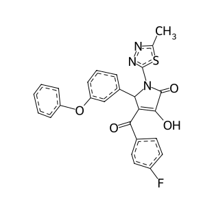 Cc1nnc(N2C(=O)C(O)=C(C(=O)c3ccc(F)cc3)C2c2cccc(Oc3ccccc3)c2)s1